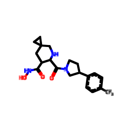 O=C(NO)C1CC2(CC2)CNC1C(=O)N1CCC(c2ccc(C(F)(F)F)cc2)C1